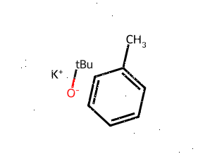 CC(C)(C)[O-].Cc1ccccc1.[K+]